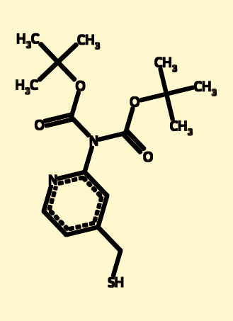 CC(C)(C)OC(=O)N(C(=O)OC(C)(C)C)c1cc(CS)ccn1